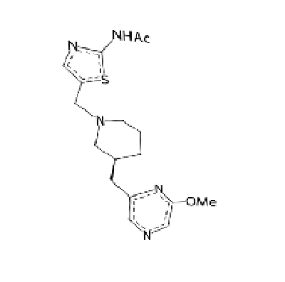 COc1cncc(C[C@@H]2CCCN(Cc3cnc(NC(C)=O)s3)C2)n1